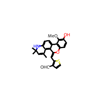 COc1c(O)ccc2c1-c1ccc3c(c1/C(=C/c1sccc1C=O)O2)C(C)=CC(C)(C)N3